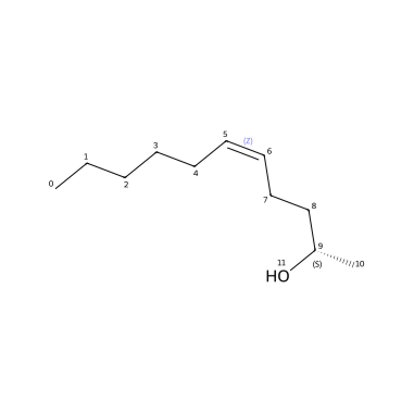 CCCCC/C=C\CC[C@H](C)O